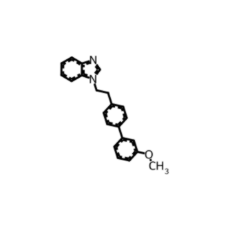 COc1cccc(-c2ccc(CCn3cnc4ccccc43)cc2)c1